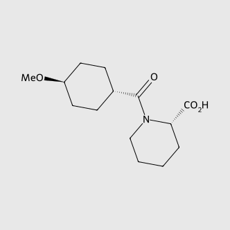 CO[C@H]1CC[C@H](C(=O)N2CCCC[C@H]2C(=O)O)CC1